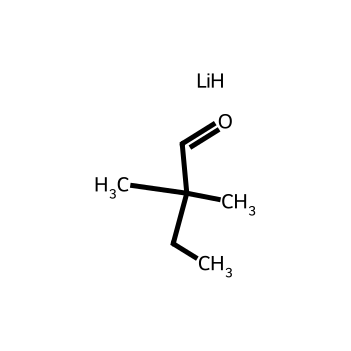 CCC(C)(C)C=O.[LiH]